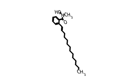 CCCCCCCCCCCC/C=C/c1ccccc1C(=O)N(C)O